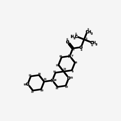 CC(C)(C)OC(=O)N1CCC2(CC1)CN(C1CCOCC1)CCO2